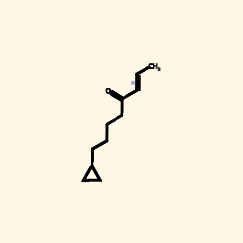 C/C=C/C(=O)CCCCC1CC1